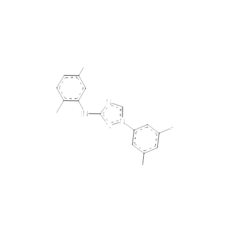 Cc1ccc(Cl)cc1Nc1ncn(-c2cc(F)cc(F)c2)n1